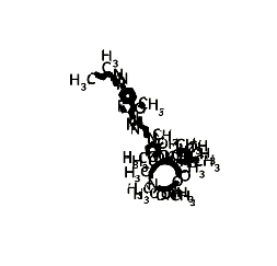 CCCC(C)c1cn(-c2ccc([C@@H](OC)[C@@H](CF)n3cc(CCN(C)[C@H]4C[C@@H](C)O[C@@H](O[C@@H]5[C@@H](C)C([C@H]6C[C@@](C)(OC)[C@@H](O)[C@H](C)O6)[C@@H](C)C(=O)O[C@H](CC)[C@@](C)(O)[C@H](O)[C@@H](C)N(C)C[C@H](C)C[C@@]5(C)O)[C@@H]4O)nn3)cc2)nn1